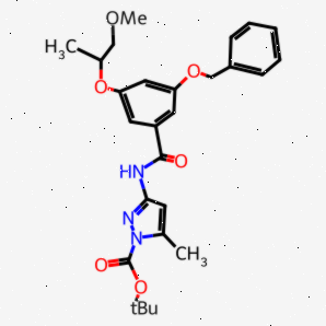 COCC(C)Oc1cc(OCc2ccccc2)cc(C(=O)Nc2cc(C)n(C(=O)OC(C)(C)C)n2)c1